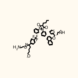 CCCCC1C(=O)N(c2ccccc2)N(c2ccccc2)C1=O.CNCC[C@H](Oc1cccc2ccccc12)c1cccs1.COCCCC/C(=N\OCCN)c1ccc(C(F)(F)F)cc1